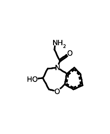 NCC(=O)N1CC(O)COc2ccccc21